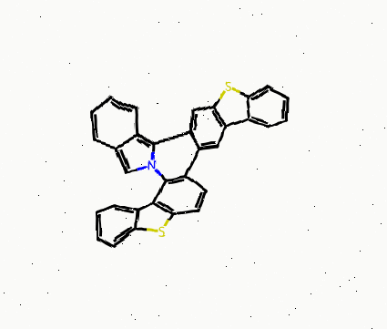 c1ccc2c(c1)cn1c2c2cc3sc4ccccc4c3cc2c2ccc3sc4ccccc4c3c21